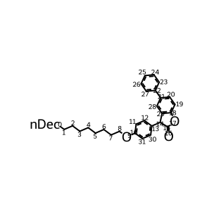 CCCCCCCCCCCCCCCCCCOc1ccc(C2C(=O)Oc3ccc(-c4ccccc4)cc32)cc1